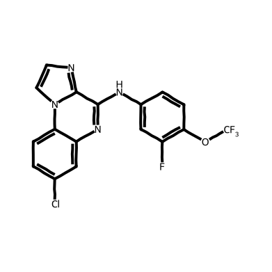 Fc1cc(Nc2nc3cc(Cl)ccc3n3ccnc23)ccc1OC(F)(F)F